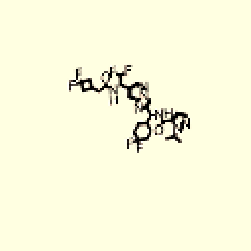 CC(C)n1nccc1C(=O)N[C@H](c1cn2ncc([C@H](NC(=O)CC3CC(F)(F)C3)C(F)F)cc2n1)C1CCC(F)(F)CC1